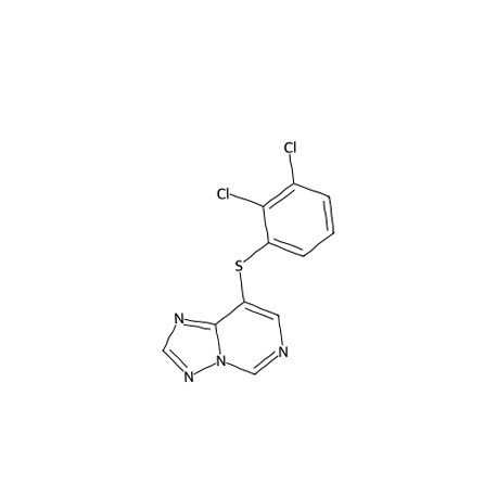 Clc1cccc(Sc2cncn3ncnc23)c1Cl